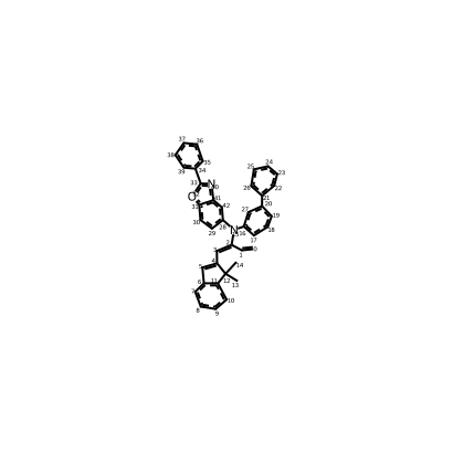 C=C/C(=C\C1=Cc2ccccc2C1(C)C)N(c1cccc(-c2ccccc2)c1)c1ccc2oc(-c3ccccc3)nc2c1